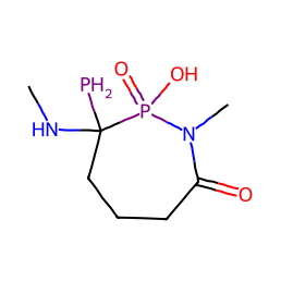 CNC1(P)CCCC(=O)N(C)P1(=O)O